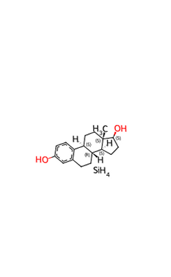 C[C@]12CC[C@@H]3c4ccc(O)cc4CC[C@H]3[C@@H]1CC[C@@H]2O.[SiH4]